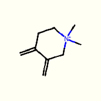 C=C1CC[N+](C)(C)CC1=C